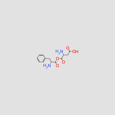 NC(CC(=O)O)C(=O)OC(=O)C(N)Cc1ccccc1